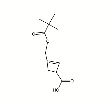 CC(C)(C)C(=O)OCC1=CC(C(=O)O)C1